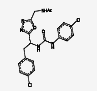 CC(=O)NCc1nnc(C(Cc2ccc(Cl)cc2)NC(=O)Nc2ccc(Cl)cc2)o1